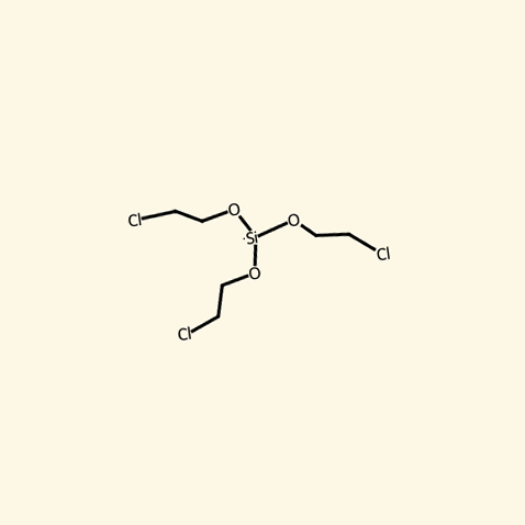 ClCCO[Si](OCCCl)OCCCl